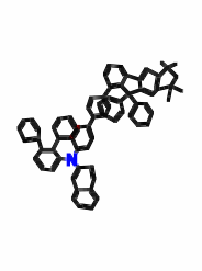 CC1(C)CC(C)(C)c2cc3c(cc21)-c1cccc(-c2ccc(-c4ccc(N(c5ccc6ccccc6c5)c5cccc(-c6ccccc6)c5-c5ccccc5)cc4)cc2)c1C3(c1ccccc1)c1ccccc1